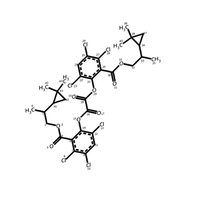 CC(COC(=O)c1c(Cl)c(Cl)cc(Cl)c1OC(=O)C(=O)Oc1c(Cl)cc(Cl)c(Cl)c1C(=O)OCC(C)C1CC1(C)C)C1CC1(C)C